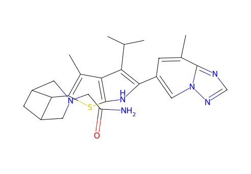 Cc1c(C2C3CC2CN(CC(N)=O)C3)sc2[nH]c(-c3cc(C)c4ncnn4c3)c(C(C)C)c12